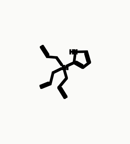 C=C[CH2][Sn]([CH2]C=C)([CH2]C=C)[c]1ccc[nH]1